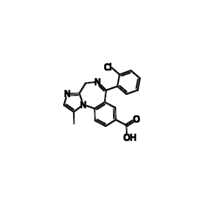 Cc1cnc2n1-c1ccc(C(=O)O)cc1C(c1ccccc1Cl)=NC2